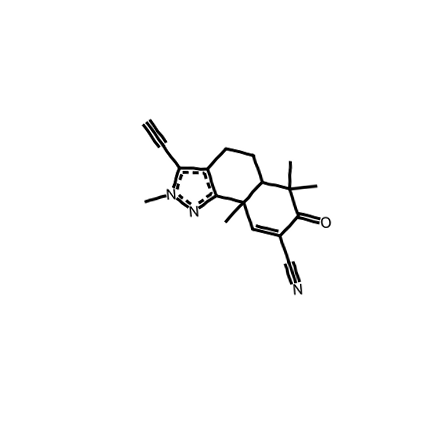 C#Cc1c2c(nn1C)C1(C)C=C(C#N)C(=O)C(C)(C)C1CC2